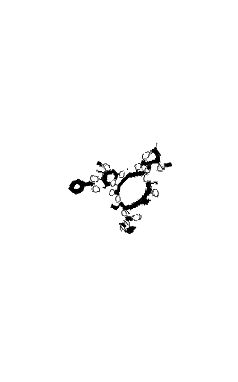 CC[C@H]1OC(=O)[C@H](C)[C@@H](O[C@H]2C[C@@](C)(OC)[C@@H](OC(=O)c3ccccc3)[C@H](C)O2)[C@H](C)[C@@H](O[C@H]2C[C@@H](N(C)C)C[C@@H](C)O2)[C@@](C)(OC)C[C@@H](C)C(=O)/C(C)=C/[C@]1(C)OC(=O)n1ccnc1